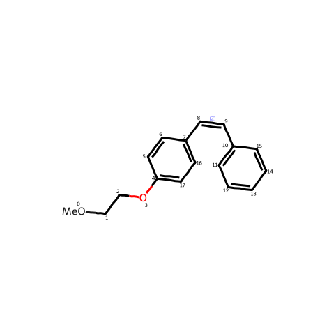 COCCOc1ccc(/C=C\c2ccccc2)cc1